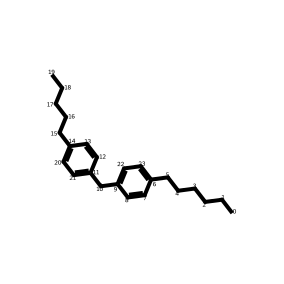 CCCCCCc1ccc([CH]c2ccc(CCCCC)cc2)cc1